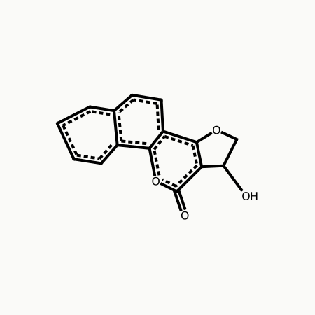 O=c1oc2c(ccc3ccccc32)c2c1C(O)CO2